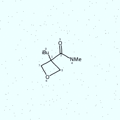 CCC(C)C1(C(=O)NC)COC1